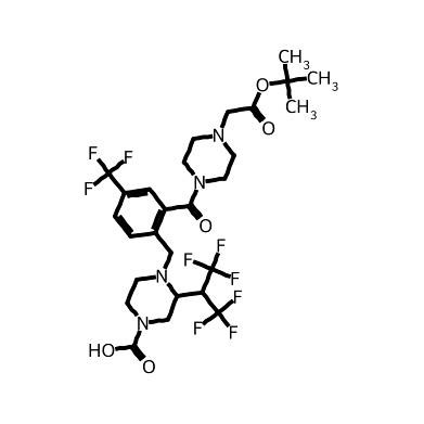 CC(C)(C)OC(=O)CN1CCN(C(=O)c2cc(C(F)(F)F)ccc2CN2CCN(C(=O)O)CC2C(C(F)(F)F)C(F)(F)F)CC1